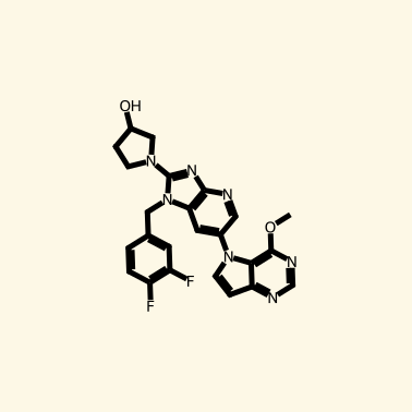 COc1ncnc2ccn(-c3cnc4nc(N5CCC(O)C5)n(Cc5ccc(F)c(F)c5)c4c3)c12